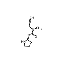 C#CCN(C)C(=O)N=C1NCCS1